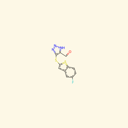 O=Cc1[nH]nnc1Sc1cc2cc(F)ccc2s1